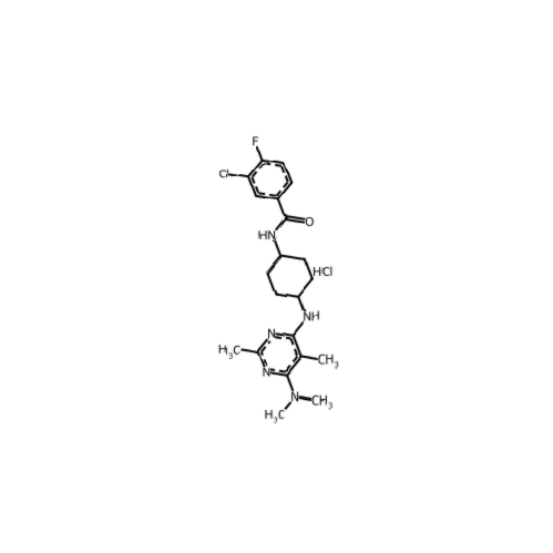 Cc1nc(NC2CCC(NC(=O)c3ccc(F)c(Cl)c3)CC2)c(C)c(N(C)C)n1.Cl